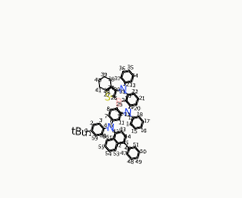 CC(C)(C)c1ccc(N(c2ccc3c(c2)N(c2ccccc2)c2cccc4c2B3c2sc3c(c2N4c2ccccc2)CCCC3)c2ccc(-c3ccccc3)c3ccccc23)cc1